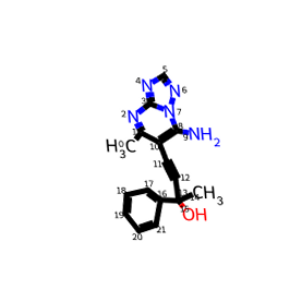 Cc1nc2ncnn2c(N)c1C#CC(C)(O)c1ccccc1